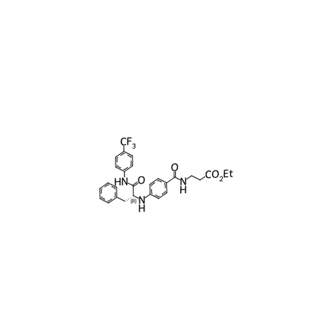 CCOC(=O)CCNC(=O)c1ccc(N[C@H](Cc2ccccc2)C(=O)Nc2ccc(C(F)(F)F)cc2)cc1